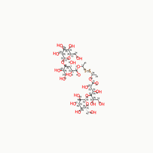 CC(OC(=O)[C@@H](O)[C@@H](O)[C@H](O[C@@H]1O[C@H](CO)[C@H](O)[C@H](O)[C@H]1O)[C@H](O)CO)SSC(C)OC(=O)[C@@H](O)[C@@H](O)[C@H](O[C@@H]1O[C@H](CO)[C@H](O)[C@H](O)[C@H]1O)[C@H](O)CO